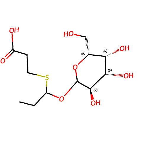 CCC(OC1O[C@H](CO)[C@H](O)[C@H](O)[C@H]1O)SCCC(=O)O